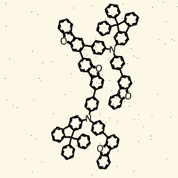 c1ccc(C2(c3ccccc3)c3ccccc3-c3ccc(N(c4ccc(-c5ccc6oc7ccccc7c6c5)cc4)c4ccc(-c5cc6c(cc5-c5ccc7c(c5)oc5ccc(-c8ccc(N(c9ccc(-c%10cccc%11c%10oc%10ccccc%10%11)cc9)c9ccc%10c(c9)C(c9ccccc9)(c9ccccc9)c9ccccc9-%10)cc8)cc57)oc5ccccc56)cc4)cc32)cc1